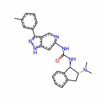 Cc1cccc(-c2n[nH]c3cc(NC(=O)N[C@@H]4c5ccccc5C[C@H]4N(C)C)ncc23)c1